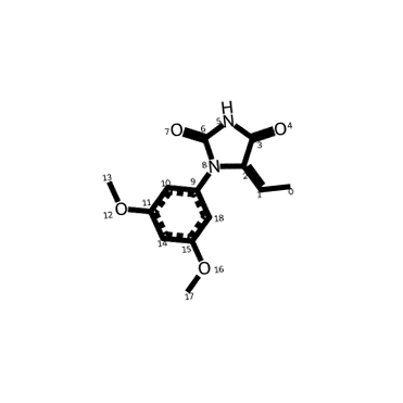 CC=C1C(=O)NC(=O)N1c1cc(OC)cc(OC)c1